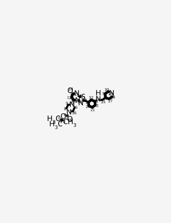 CC(C)(C)OC(=O)N1CCN(c2cc(=O)nc3sc(-c4cccc(NCc5ccncc5)c4)nn23)CC1